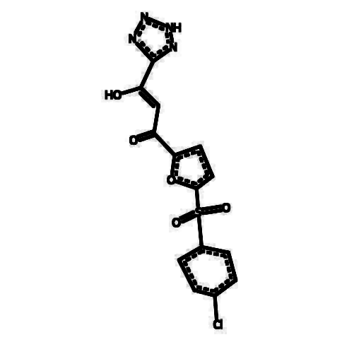 O=C(C=C(O)c1nn[nH]n1)c1ccc(S(=O)(=O)c2ccc(Cl)cc2)o1